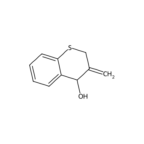 C=C1CSc2ccccc2C1O